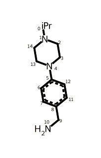 CC(C)N1CCN(c2ccc(CN)cc2)CC1